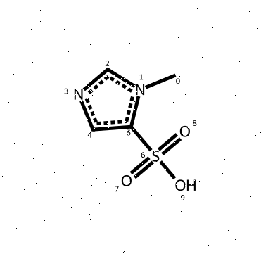 Cn1cncc1S(=O)(=O)O